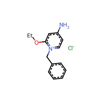 CCOc1cc(N)cc[n+]1Cc1ccccc1.[Cl-]